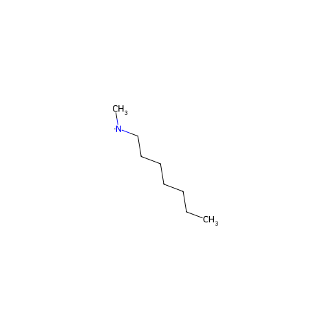 CCCCCCC[N]C